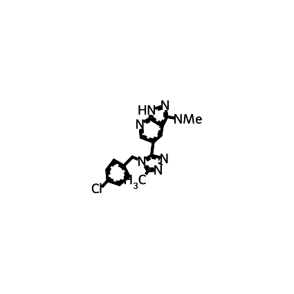 CNc1n[nH]c2ncc(-c3nnc(C)n3Cc3ccc(Cl)cc3)cc12